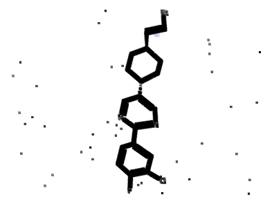 CC/C=C/[C@H]1CC[C@H](c2cnc(-c3ccc(F)c(Cl)c3)nc2)CC1